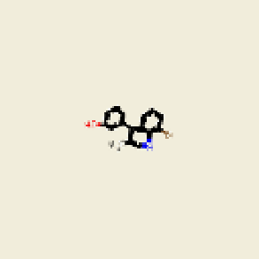 Cc1cnc2c(Br)cccc2c1-c1cccc(O)c1